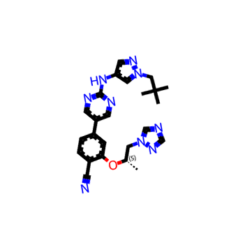 C[C@@H](Cn1cncn1)Oc1cc(-c2cnc(Nc3cnn(CC(C)(C)C)c3)nc2)ccc1C#N